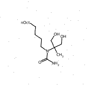 CCCCCCCCCCCCN(C(N)=O)C(C)(CO)CO